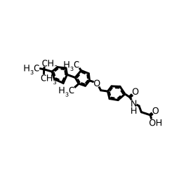 Cc1cc(OCc2ccc(C(=O)NCCC(=O)O)cc2)cc(C)c1-c1ccc(C(C)(C)C)cc1